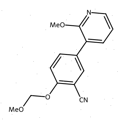 COCOc1ccc(-c2cccnc2OC)cc1C#N